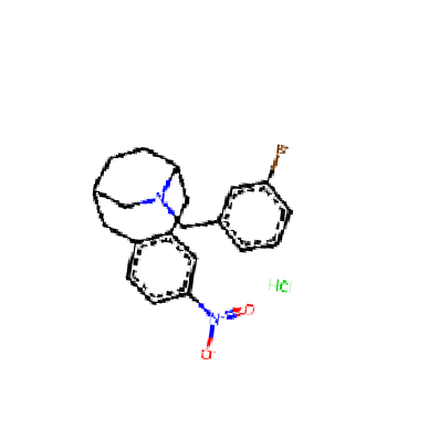 Cl.O=[N+]([O-])c1ccc2c(c1)CC1CCC(C2)CN1Cc1cccc(Br)c1